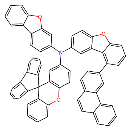 c1ccc2c(c1)Oc1ccc(N(c3ccc4c(c3)oc3ccccc34)c3ccc4oc5cccc(-c6ccc7ccc8ccccc8c7c6)c5c4c3)cc1C21c2ccccc2-c2ccccc21